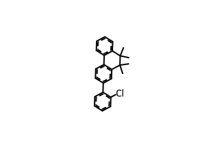 CC1(C)c2ccccc2-c2ccc(-c3ccccc3Cl)cc2C1(C)C